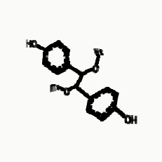 CCOC(c1ccc(O)cc1)C(OCC)c1ccc(O)cc1